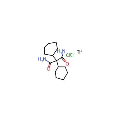 NC(=O)C(C(N)=O)(C1CCCCC1)C1CCCCC1.[Cl-].[Cl-].[Ti+2]